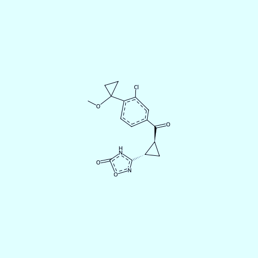 COC1(c2ccc(C(=O)[C@H]3C[C@@H]3c3noc(=O)[nH]3)cc2Cl)CC1